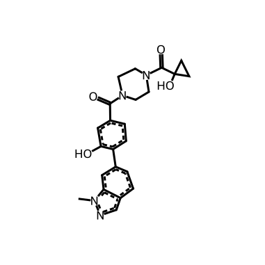 Cn1ncc2ccc(-c3ccc(C(=O)N4CCN(C(=O)C5(O)CC5)CC4)cc3O)cc21